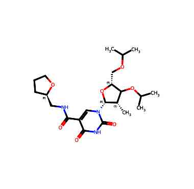 CC(C)OC[C@H]1O[C@@H](n2cc(C(=O)NC[C@H]3CCCO3)c(=O)[nH]c2=O)[C@@H](C)C1OC(C)C